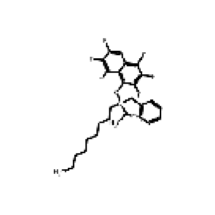 CCCCCCCCC[Si](Cc1ccccc1)(Oc1c(F)c(F)c(F)c2[c]c(F)c(F)c(F)c12)C(C)C